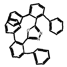 c1ccc(-c2cccc(-c3ccccc3)c2-c2nnc(-c3c(-c4ccccc4)cccc3-c3ccccc3)o2)cc1